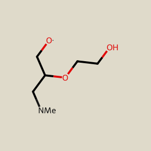 CNCC(C[O])OCCO